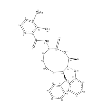 COc1ccnc(C(=O)N[C@H]2CCOC[C@H](Oc3ccccc3)[C@@H](Oc3ccccc3)[C@H](C)OC2=O)c1O